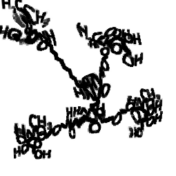 CC(=O)NC1C(OCCOCCNC(=O)CCC(NC(=O)CCC(NC(=O)CCCCCCCCCCC(=O)N[C@H]2C[C@H](CO)[C@@H](OC(C)C)C2)C(=O)NCCOCCOC2OC(CO)C(O)C(O)C2NC(C)=O)C(=O)NCCOCCOC2OC(CO)C(O)C(O)C2NC(C)=O)OC(CO)C(O)C1O